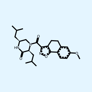 COc1ccc2c(c1)CCc1c(C(=O)N3C[C@H](CC(C)C)NC(=O)[C@@H]3CC(C)C)noc1-2